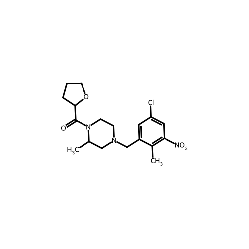 Cc1c(CN2CCN(C(=O)C3CCCO3)C(C)C2)cc(Cl)cc1[N+](=O)[O-]